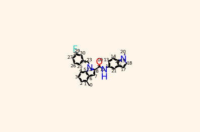 Cc1cccc2c1cc(C(=O)Nc1ccc3c(ccn3C)c1)n2Cc1cccc(F)c1